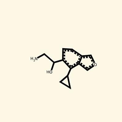 NCC(O)c1ccc2cocc2c1C1CC1